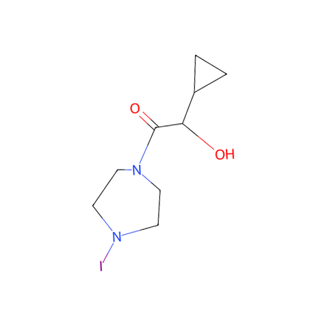 O=C(C(O)C1CC1)N1CCN(I)CC1